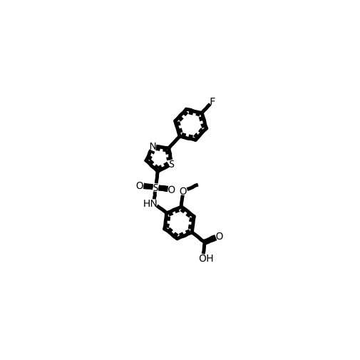 COc1cc(C(=O)O)ccc1NS(=O)(=O)c1cnc(-c2ccc(F)cc2)s1